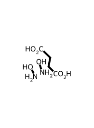 NO.NO.O=C(O)CCC(=O)O